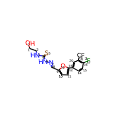 OCCNC(=S)NN=Cc1ccc(-c2ccc(F)c(C(F)(F)F)c2)o1